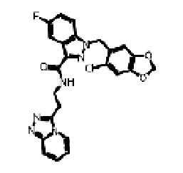 O=C(NCCc1nnc2ccccn12)c1nn(Cc2cc3c(cc2Cl)OCO3)c2ccc(F)cc12